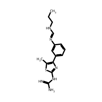 CCCN/C=N/c1cccc(-c2nc(NC(=N)N)sc2C)c1